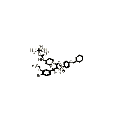 CCOc1cc(C(F)(F)C(NS(=O)(=O)c2ccc(OCC3CCCCC3)cc2)C(=O)N2CCC(NC(=O)OC(C)(C)C)CC2)ccc1Br